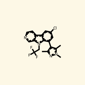 Cc1nn(C)c(C)c1-c1cc(Cl)cc2c3ccncc3n(CC(F)(F)F)c12